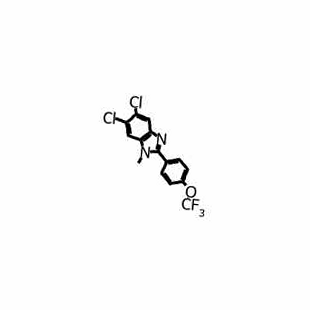 Cn1c(-c2ccc(OC(F)(F)F)cc2)nc2cc(Cl)c(Cl)cc21